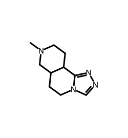 CN1CCC2c3nncn3CCC2C1